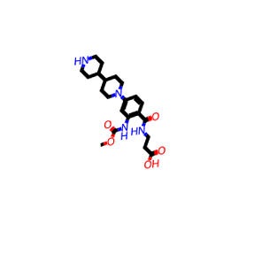 COC(=O)Nc1cc(N2CCC(C3CCNCC3)CC2)ccc1C(=O)NCCC(=O)O